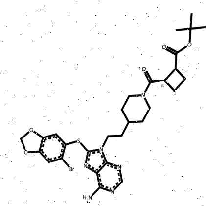 CC(C)(C)OC(=O)C1CC[C@H]1C(=O)N1CCC(CCn2c(Sc3cc4c(cc3Br)OCO4)nc3c(N)ncnc32)CC1